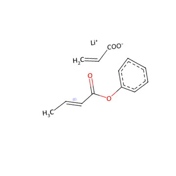 C/C=C/C(=O)Oc1ccccc1.C=CC(=O)[O-].[Li+]